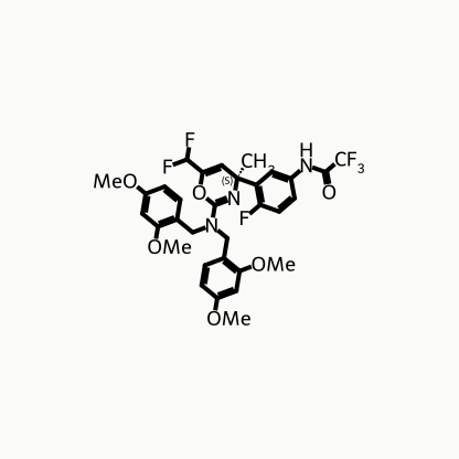 COc1ccc(CN(Cc2ccc(OC)cc2OC)C2=N[C@](C)(c3cc(NC(=O)C(F)(F)F)ccc3F)C=C(C(F)F)O2)c(OC)c1